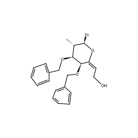 CC[C@H]1O/C(=C/CO)[C@@H](OCc2ccccc2)[C@@H](OCc2ccccc2)[C@@H]1C